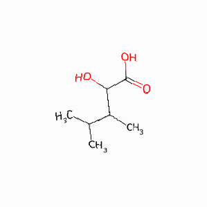 CC(C)C(C)C(O)C(=O)O